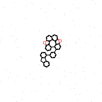 c1cc(-c2cccc3c2-c2ccccc2C3)cc(-c2ccc3oc4ccc5ccc6oc7cccc8c7c6c5c4c3c2-8)c1